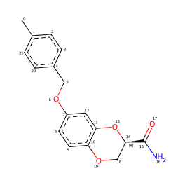 Cc1ccc(COc2ccc3c(c2)O[C@@H](C(N)=O)CO3)cc1